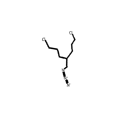 [N-]=[N+]=NCC(CCCCl)CCCCl